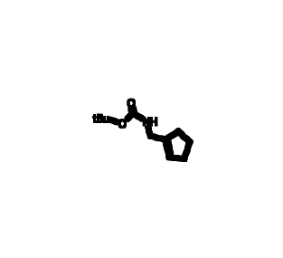 CC(C)(C)OC(=O)NCC1=CCCC1